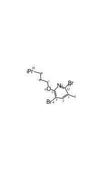 Cc1cc(Br)c(OCCCC(C)C)nc1Br